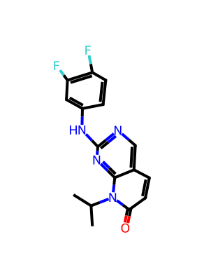 CC(C)n1c(=O)ccc2cnc(Nc3ccc(F)c(F)c3)nc21